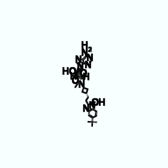 CC1O[C@H]2[C@@H](O)[C@H](n3cnc4c(N)ncnc43)O[C@@H]2CN1[C@H]1C[C@@H](CCc2nc3cc(C(C)(C)C)ccc3n2O)C1